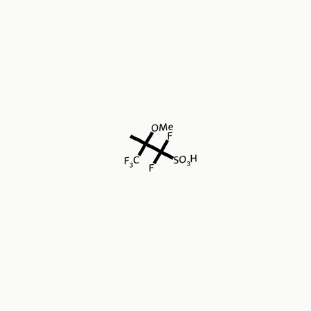 COC(C)(C(F)(F)F)C(F)(F)S(=O)(=O)O